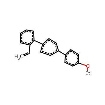 C=Cc1ccccc1-c1ccc(-c2ccc(OCC)cc2)cc1